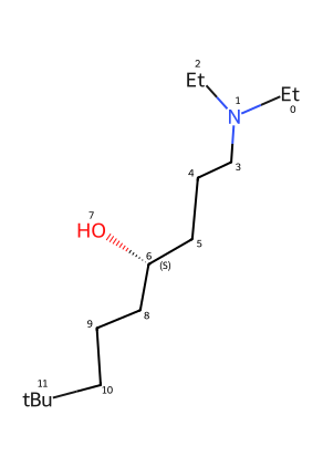 CCN(CC)CCC[C@@H](O)CCCC(C)(C)C